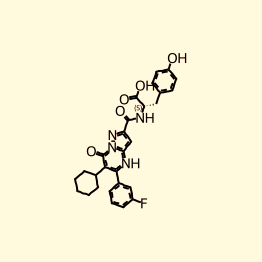 O=C(N[C@@H](Cc1ccc(O)cc1)C(=O)O)c1cc2[nH]c(-c3cccc(F)c3)c(C3CCCCC3)c(=O)n2n1